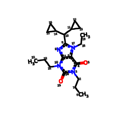 CCCn1c(=O)c2c(nc(C(C3CC3)C3CC3)n2CC)n(CCC)c1=O